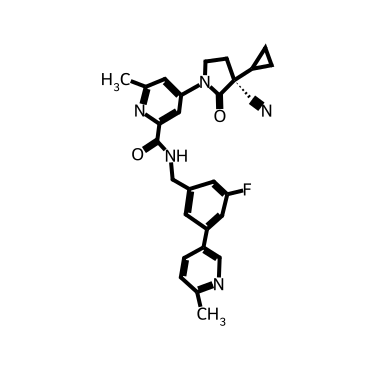 Cc1ccc(-c2cc(F)cc(CNC(=O)c3cc(N4CC[C@@](C#N)(C5CC5)C4=O)cc(C)n3)c2)cn1